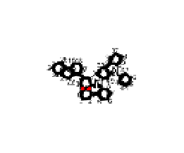 c1ccc(-c2ccccc2N(c2cccc(-c3cccc4c3ccc3ccccc34)c2)c2ccc3c4ccccc4n(-c4ccccc4)c3c2)cc1